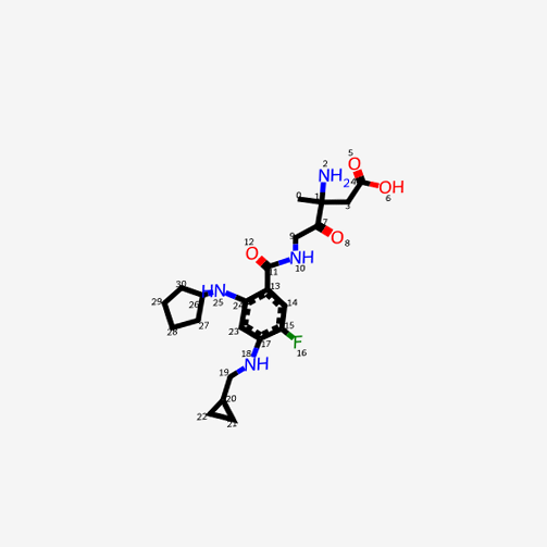 CC(N)(CC(=O)O)C(=O)CNC(=O)c1cc(F)c(NCC2CC2)cc1NC1CCCC1